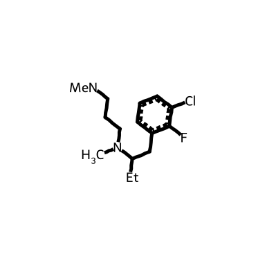 CCC(Cc1cccc(Cl)c1F)N(C)CCCNC